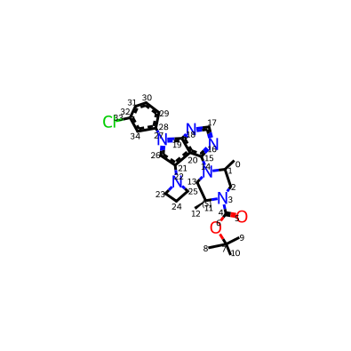 CC1CN(C(=O)OC(C)(C)C)[C@@H](C)CN1c1ncnc2c1c(N1CCC1)cn2-c1cccc(Cl)c1